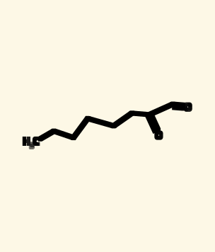 CCCCCCC(=O)[C]=O